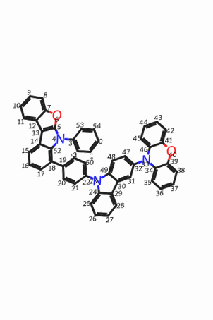 c1ccc(-n2c3oc4ccccc4c3c3cccc(-c4ccc(-n5c6ccccc6c6cc(N7c8ccccc8Oc8ccccc87)ccc65)cc4)c32)cc1